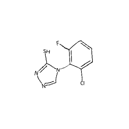 Fc1cccc(Cl)c1-n1cnnc1S